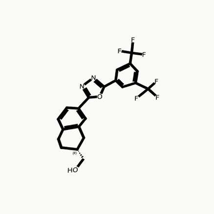 OC[C@@H]1CCc2ccc(-c3nnc(-c4cc(C(F)(F)F)cc(C(F)(F)F)c4)o3)cc2C1